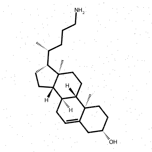 C[C@H](CCCN)[C@H]1CC[C@H]2[C@@H]3CC=C4C[C@@H](O)CC[C@]4(C)[C@H]3CC[C@]12C